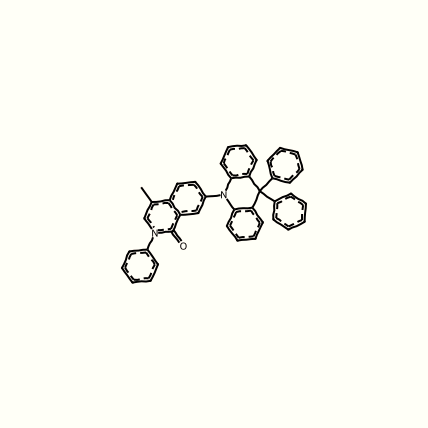 Cc1cn(-c2ccccc2)c(=O)c2cc(N3c4ccccc4C(c4ccccc4)(c4ccccc4)c4ccccc43)ccc12